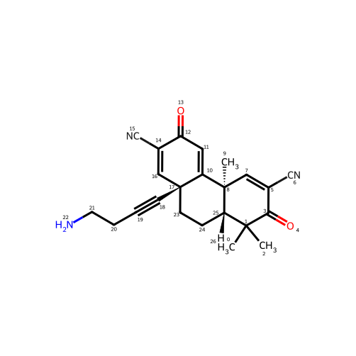 CC1(C)C(=O)C(C#N)=C[C@]2(C)C3=CC(=O)C(C#N)=C[C@@]3(C#CCCN)CC[C@@H]12